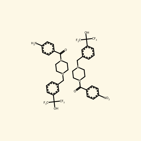 Nc1ccc(C(=O)N2CCN(Cc3cccc(C(O)(C(F)(F)F)C(F)(F)F)c3)CC2)cc1.O=C(c1ccc([N+](=O)[O-])cc1)N1CCN(Cc2cccc(C(O)(C(F)(F)F)C(F)(F)F)c2)CC1